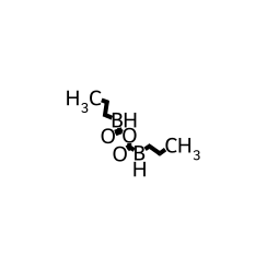 CCCBC(=O)OC(=O)BCCC